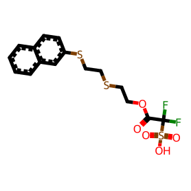 O=C(OCCSCCSc1ccc2ccccc2c1)C(F)(F)S(=O)(=O)O